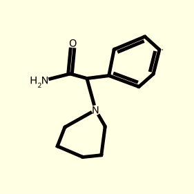 NC(=O)C(c1cc[c]cc1)N1CCCCC1